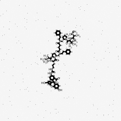 C[C@@H](C(=O)N[C@@H](CCCNC(=S)Nc1ccc2c(c1)C(=O)OC21c2ccc(O)cc2Oc2cc(O)ccc21)C(=O)N1CCC[C@H]1CN(CCc1ccccc1)C(=O)CCCC(=O)N(CCc1ccccc1)C[C@@H]1CCCN1C(=O)[C@@H](NC(=O)[C@H](C)N(C)C)C(C)(C)C)N(C)C